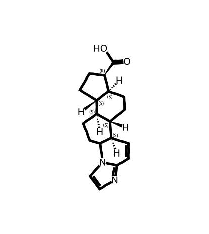 O=C(O)[C@@H]1CC[C@H]2[C@@H]3CCC4[C@H](C=Cc5nccn54)[C@H]3CC[C@@H]21